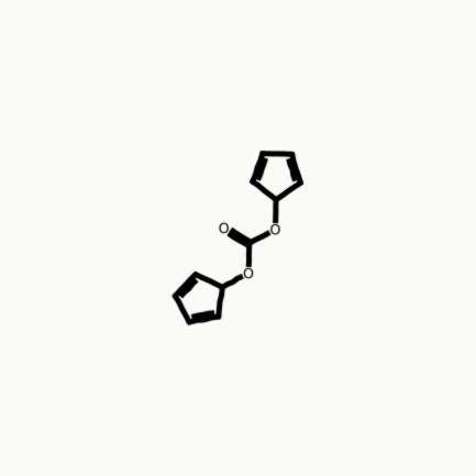 O=C(OC1C=CC=C1)OC1C=CC=C1